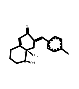 C[C@]12CC(=Cc3ccc(I)cc3)C(=O)C=C1CCC[C@@H]2O